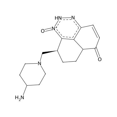 NC1CCN(C[C@@H]2CCC3C(=O)C=Cc4n[nH][n+](=O)c2c43)CC1